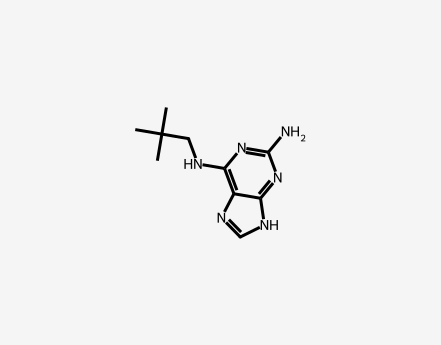 CC(C)(C)CNc1nc(N)nc2[nH]cnc12